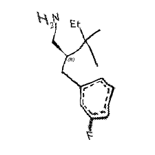 CCC(C)(C)[C@H](CN)Cc1cccc(F)c1